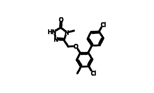 Cc1cc(OCc2n[nH]c(=O)n2C)c(-c2ccc(Cl)cc2)cc1Cl